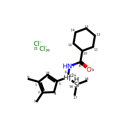 CC1=C(C)C[C]([Hf+2]([NH]C(=O)C2CCCCC2)[SiH](C)C)=C1.[Cl-].[Cl-]